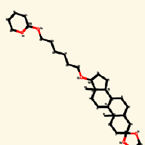 CC12CCC3(CC1CCC1C2CCC2(C)C(OCCCCCCOC4CCCCO4)CCC12)OCCO3